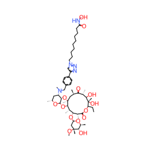 CCC1OC(=O)[C@H](C)[C@H](OC2C[C@@](C)(OC)[C@@H](O)[C@H](C)O2)[C@H](C)[C@@H](OC2C[C@@H](N(C)Cc3ccc(-c4cn(CCCCCCCCCC(=O)NO)nn4)cc3)C[C@@H](C)O2)[C@@](C)(OC)C[C@@H](C)C(=O)[C@H](C)[C@@H](O)[C@]1(C)O